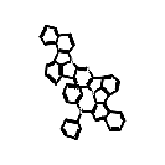 c1ccc(N(c2ccccc2)c2cc3ccccc3c3c4cccc5c6nc7c(nc6n(c23)c54)c2cccc3c4c5ccccc5ccc4n7c23)cc1